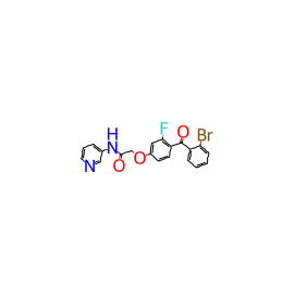 O=C(COc1ccc(C(=O)c2ccccc2Br)c(F)c1)Nc1cccnc1